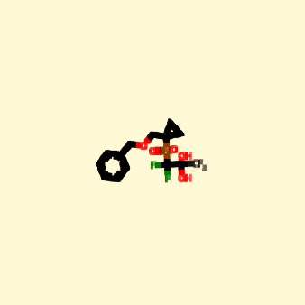 O=S(=O)(C1(COCc2ccccc2)CC1)C(F)(F)C(O)(O)C(F)(F)F